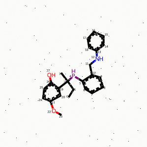 CCC(C)(Pc1ccccc1CNc1ccccc1)c1cc(OC)ccc1O